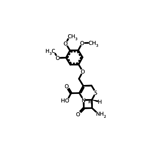 COc1cc(OCC2=C(C(=O)O)N3C(=O)C(N)[C@H]3SC2)cc(OC)c1OC